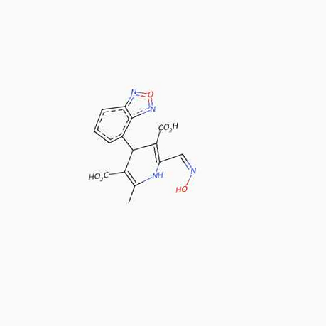 CC1=C(C(=O)O)C(c2cccc3nonc23)C(C(=O)O)=C(/C=N\O)N1